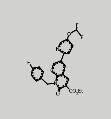 CCOC(=O)c1cc2cc(-c3ccc(OC(F)F)cn3)cnc2n(Cc2ccc(F)cc2)c1=O